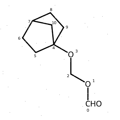 O=COCOC12CCC(CC1)C2